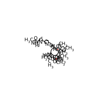 CCC(=O)/N=C1\[C@H](C)C[C@@]2(C)OC/C(=N/OCc3ccc(-c4nc(NC(=O)[C@H](C)N)cs4)cn3)CC[C@H]([C@H]1C)C(C)(O)[C@@H](CC)OC(=O)[C@@](C)(F)C(=O)[C@H](C)[C@H]2O[C@@H]1O[C@H](C)C[C@H](N(C)C)[C@H]1O